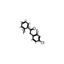 O=C(Cc1ccc(Cl)cc1F)c1ccccc1F